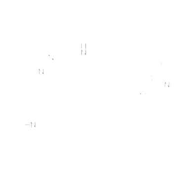 NS(=O)(=O)c1ccc(Nc2cc(-c3c[nH]c4ccccc34)[nH]n2)cc1